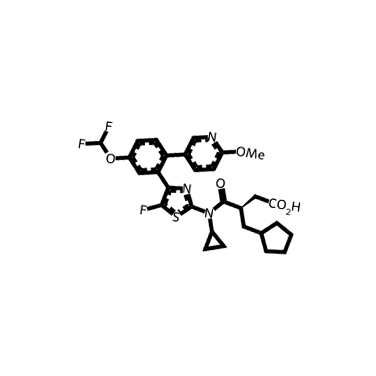 COc1ccc(-c2ccc(OC(F)F)cc2-c2nc(N(C(=O)[C@@H](CC(=O)O)CC3CCCC3)C3CC3)sc2F)cn1